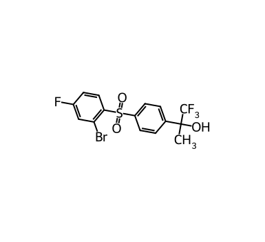 CC(O)(c1ccc(S(=O)(=O)c2ccc(F)cc2Br)cc1)C(F)(F)F